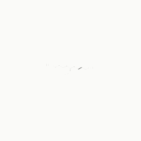 CCC=CCC(CCCCC)OC